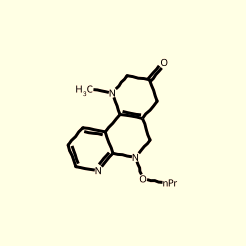 CCCON1CC2=C(c3cccnc31)N(C)CC(=O)C2